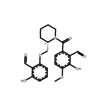 COc1ccc(C(=O)N2CCCC[C@H]2COc2cccc(O)c2C=O)c(C=O)c1O